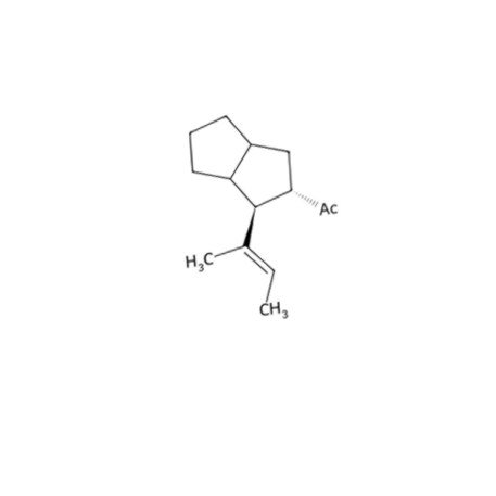 C/C=C(\C)[C@H]1C2CCCC2C[C@@H]1C(C)=O